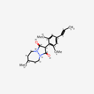 CC#Cc1cc(OC)c(C2C(=O)N3CCC(OC)CCN3C2=O)c(OC)c1